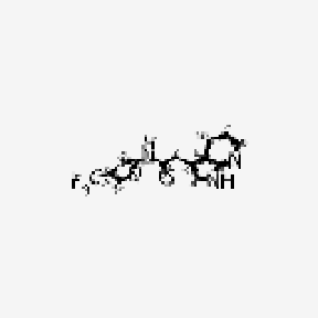 O=C(Cc1c[nH]c2ncccc12)Nc1ncc(C(F)(F)F)s1